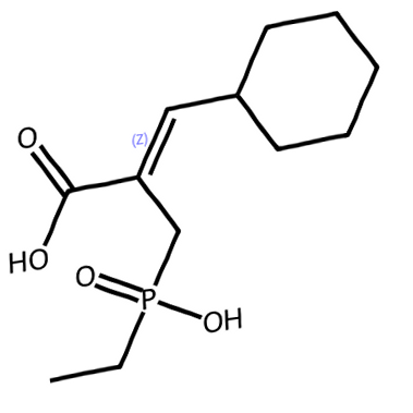 CCP(=O)(O)C/C(=C\C1CCCCC1)C(=O)O